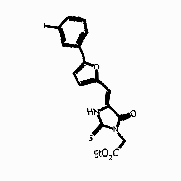 CCOC(=O)CN1C(=O)/C(=C/c2ccc(-c3cccc(I)c3)o2)NC1=S